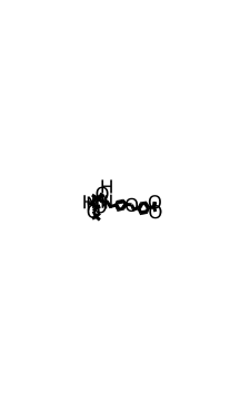 COC(=O)c1ccc(COc2ccc(CNNC(=O)C(C)N(C)C(=O)OC(C)(C)C)cc2)cc1